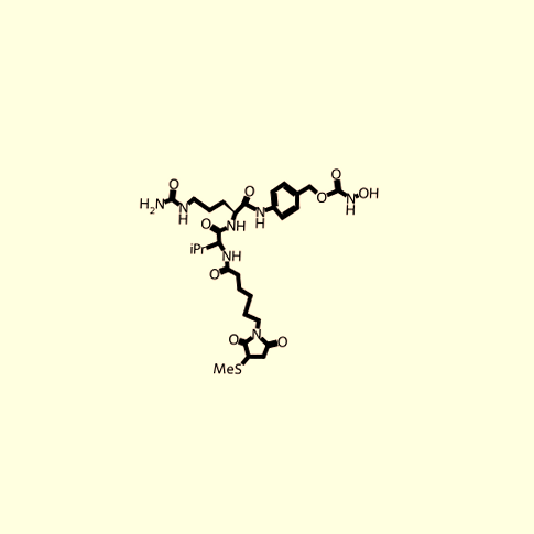 CSC1CC(=O)N(CCCCCC(=O)NC(C(=O)N[C@@H](CCCNC(N)=O)C(=O)Nc2ccc(COC(=O)NO)cc2)C(C)C)C1=O